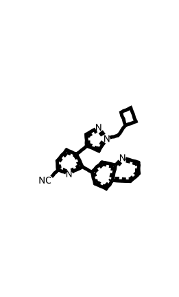 N#Cc1ccc(-c2cnn(CC3CCC3)c2)c(-c2ccc3cccnc3c2)n1